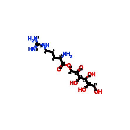 N=C(N)NCCCC(N)C(=O)OCC(=O)C(O)C(O)C(O)CO